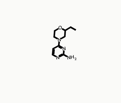 CCC1CN(c2ccnc(N)n2)CCO1